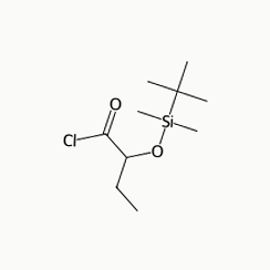 CCC(O[Si](C)(C)C(C)(C)C)C(=O)Cl